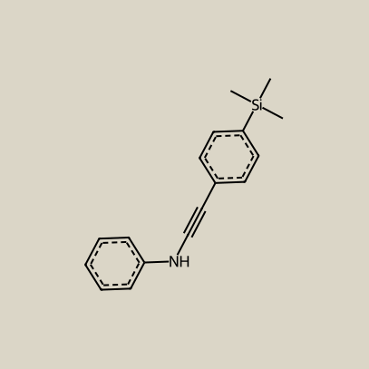 C[Si](C)(C)c1ccc(C#CNc2ccccc2)cc1